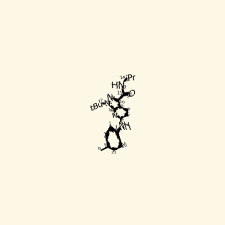 Cc1ccc(Nc2ccc3c(C(=O)NC(C)C)nn(C(C)(C)C)c3n2)cc1